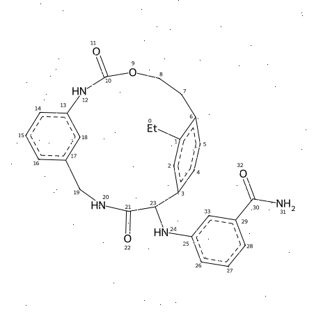 CCc1cc2ccc1CCOC(=O)Nc1cccc(c1)CNC(=O)C2Nc1cccc(C(N)=O)c1